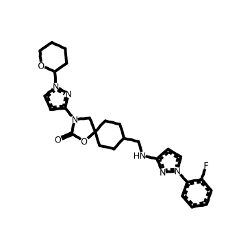 O=C1OC2(CCC(CNc3ccn(-c4ccccc4F)n3)CC2)CN1c1ccn(C2CCCCO2)n1